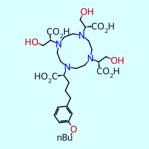 CCCCOc1cccc(CCC[C@@H](C(=O)O)N2CCN([C@@H](CO)C(=O)O)CCN([C@@H](CO)C(=O)O)CCN([C@@H](CO)C(=O)O)CC2)c1